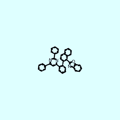 c1ccc(-c2cc(-c3ccccc3-c3ccc4ccccc4c3-c3nc4ccccc4o3)nc(-c3ccccc3)n2)cc1